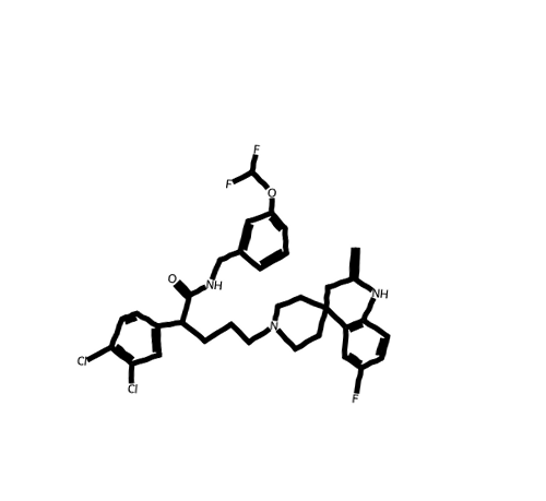 C=C1CC2(CCN(CCCC(C(=O)NCc3cccc(OC(F)F)c3)c3ccc(Cl)c(Cl)c3)CC2)c2cc(F)ccc2N1